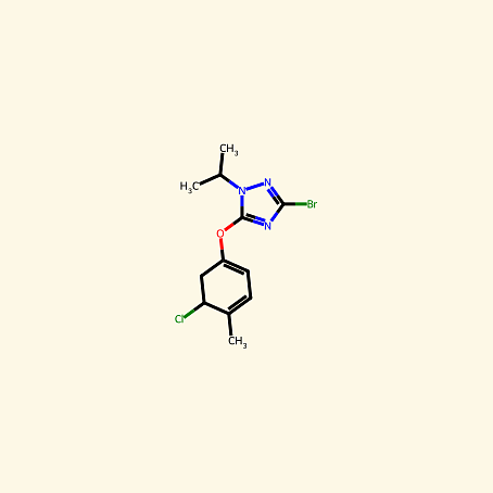 CC1=CC=C(Oc2nc(Br)nn2C(C)C)CC1Cl